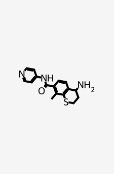 Cc1c(C(=O)Nc2ccncc2)ccc2c1SCCC2N